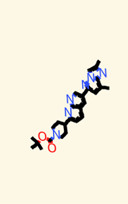 Cc1cn2nc(-c3cnc4nc(C5CCN(C(=O)OC(C)(C)C)CC5)ccc4c3)cc(C)c2n1